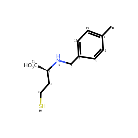 Cc1ccc(CN[C@@H](CCS)C(=O)O)cc1